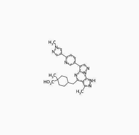 Cc1n[nH]c2c1c(CC1CCC(C)(C(=O)O)CC1)nc1c(-c3ccc(-c4cnn(C)c4)nc3)cnn12